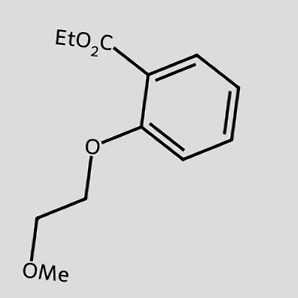 CCOC(=O)c1ccccc1OCCOC